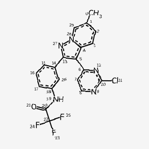 Cc1ccc2c(-c3ccnc(Cl)n3)c(-c3cccc(NC(=O)C(F)(F)F)c3)nn2c1